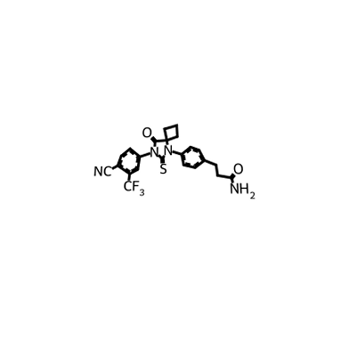 N#Cc1ccc(N2C(=O)C3(CCC3)N(c3ccc(CCC(N)=O)cc3)C2=S)cc1C(F)(F)F